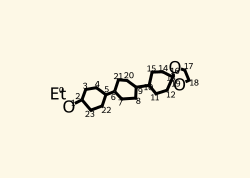 CCOC1CCC(C2CCC(C3CCC4(CC3)OCCO4)CC2)CC1